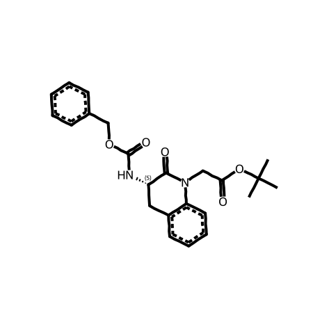 CC(C)(C)OC(=O)CN1C(=O)[C@@H](NC(=O)OCc2ccccc2)Cc2ccccc21